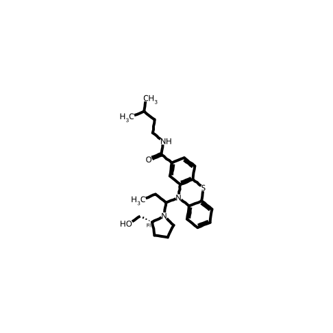 CCC(N1c2ccccc2Sc2ccc(C(=O)NCCC(C)C)cc21)N1CCC[C@@H]1CO